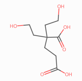 O=C(O)CCC(CCO)(CCO)C(=O)O